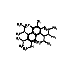 Cc1c(C)c(P(P(P)P)P(P)PP)c2c(P)c(PP)c(P(P)P)c(P(P)PP)c2c1C